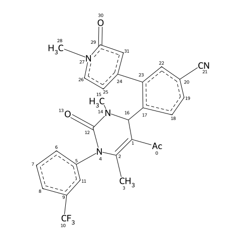 CC(=O)C1=C(C)N(c2cccc(C(F)(F)F)c2)C(=O)N(C)C1c1ccc(C#N)cc1-c1ccn(C)c(=O)c1